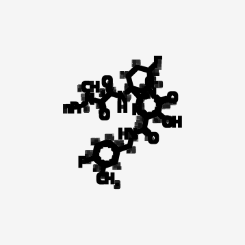 CCCN(C)C(=O)C(=O)NC12CCC(F)(CC1)Cn1c2nc(C(=O)NCc2ccc(F)c(C)c2)c(O)c1=O